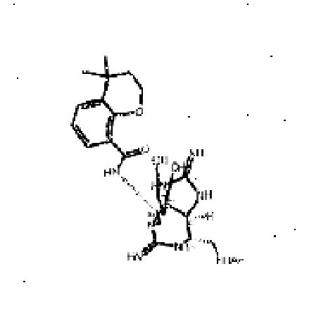 CC(=O)NC[C@@H]1NC(=N)N2C[C@H](NC(=O)c3cccc4c3OCCC4(C)C)C(O)(O)[C@@]23NC(=N)N[C@@H]13